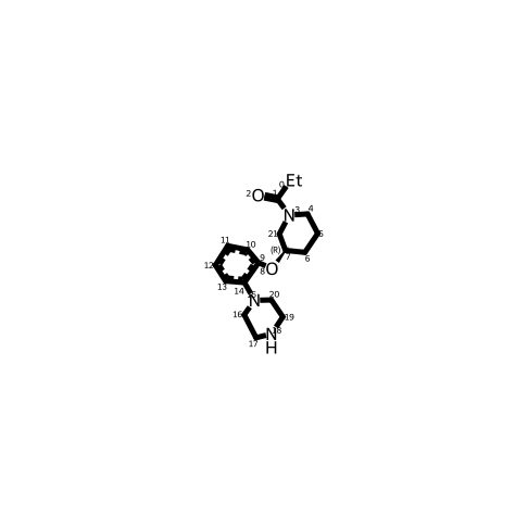 CCC(=O)N1CCC[C@@H](Oc2ccccc2N2CCNCC2)C1